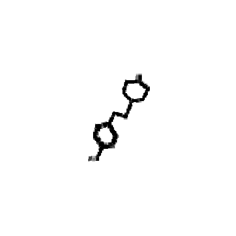 Nc1ccc(CCN2CCNCC2)cc1